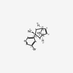 N#C[C@@]1(c2cncc(Br)c2)C[C@H]2C=C[C@@H](C1)N2